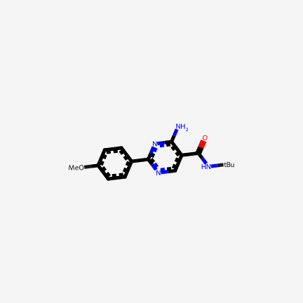 COc1ccc(-c2ncc(C(=O)NC(C)(C)C)c(N)n2)cc1